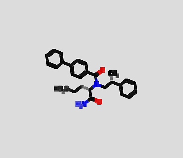 C[C@@H](CN(C(=O)c1ccc(-c2ccccc2)cc1)[C@@H](CCC(=O)O)C(N)=O)c1ccccc1